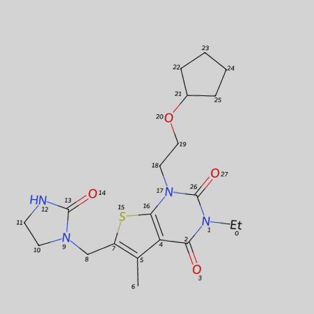 CCn1c(=O)c2c(C)c(CN3CCNC3=O)sc2n(CCOC2CCCC2)c1=O